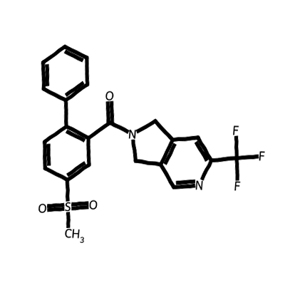 CS(=O)(=O)c1ccc(-c2ccccc2)c(C(=O)N2Cc3cnc(C(F)(F)F)cc3C2)c1